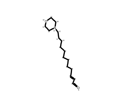 O=CC=CCCCCCCCCCN1CCOCC1